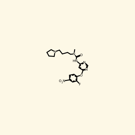 CN(CCCCN1CCCC1)C(=O)Nc1cc(Oc2ccc([N+](=O)[O-])cc2F)ncn1